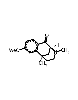 COc1ccc2c(c1)[C@]1(C)CCN(C)[C@@H](C1)C2=O